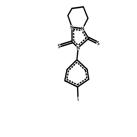 S=c1n(-c2ccc(I)cc2)c(=S)n2n1CCCC2